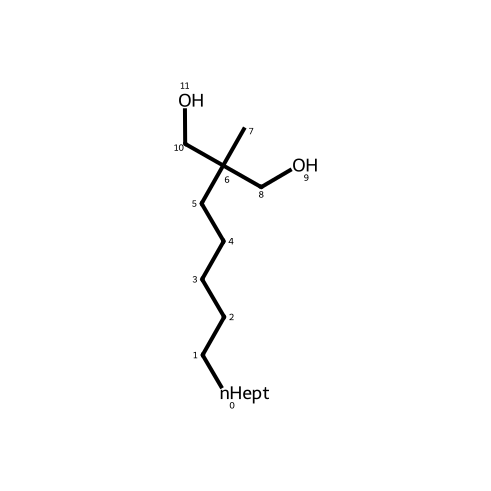 CCCCCCCCCCCCC(C)(CO)CO